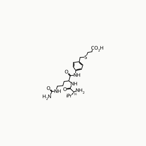 CC(C)[C@H](N)C(=O)NC(CCCNC(N)=O)C(=O)Nc1ccc(CSCCC(=O)O)cc1